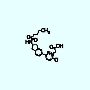 CCCCS(=O)(=O)NC1Cc2ccc(-c3ccc(=O)n(CC(=O)O)n3)cc2C1